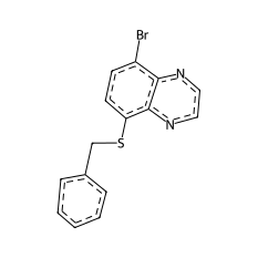 Brc1ccc(SCc2ccccc2)c2nccnc12